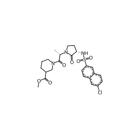 COC(=O)C1CCCN(C(=O)[C@H](C)N2CC[C@H](NS(=O)(=O)c3ccc4cc(Cl)ccc4c3)C2=O)C1